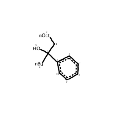 CCCCCCCCCC(O)(CCCC)c1ccccc1